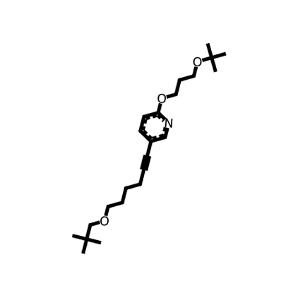 CC(C)(C)COCCCCC#Cc1ccc(OCCCOC(C)(C)C)nc1